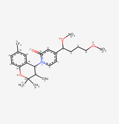 CC(=O)OC1C(n2ccc(C(CCCO[N+](=O)[O-])O[N+](=O)[O-])cc2=O)c2cc(C(F)(F)F)ccc2OC1(C)C